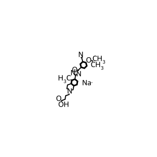 Cc1c(-c2noc(-c3ccc(OC(C)C)c(C#N)c3)n2)ccc2c1CCN(CCCC(=O)O)C2.[Na]